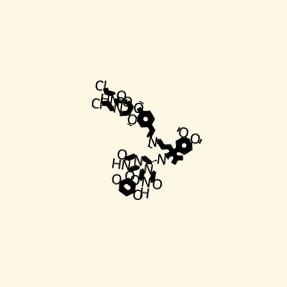 COc1ccc(CCN(C)CCCC(C#N)(c2ccc(OC)c(OC)c2)C(C)C)cc1OC.C[C@@H](CN1CC(=O)NC(=O)C1)N1CC(=O)NC(=O)C1.O=C1C=CC(=O)C=C1.O=P1(NCCCl)OCCCN1CCCl